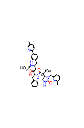 Cc1ccc(-c2ccc(CC(C[C@H](O)[C@H](Cc3ccccc3)NC(=O)[C@H](C3CNC(=O)N3Cc3cccc(C)n3)C(C)(C)C)NC(=O)O)cc2)nc1